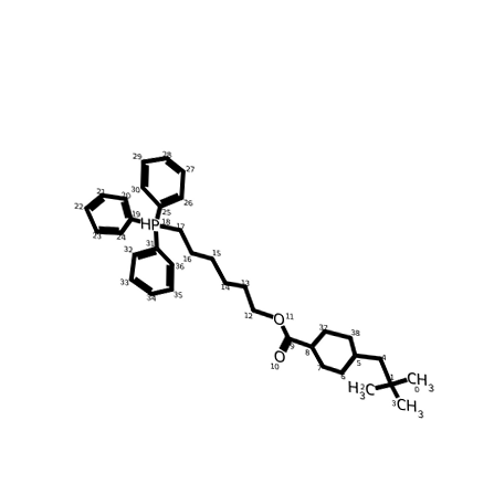 CC(C)(C)CC1CCC(C(=O)OCCCCCC[PH](c2ccccc2)(c2ccccc2)c2ccccc2)CC1